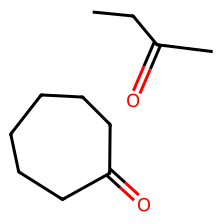 CCC(C)=O.O=C1CCCCCC1